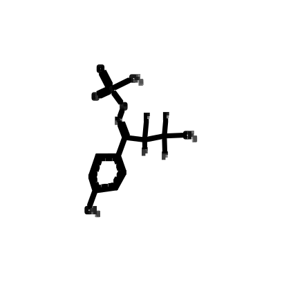 Cc1ccc(C(=NOS(=O)(=O)C(F)(F)F)C(F)(F)C(F)(F)C(F)(F)F)cc1